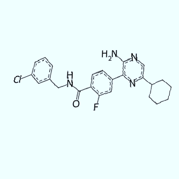 Nc1ncc(C2CCCCC2)nc1-c1ccc(C(=O)NCc2cccc(Cl)c2)c(F)c1